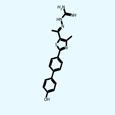 C/C(=N\NC(=N)N)c1sc(-c2ccc(-c3ccc(O)cc3)cc2)nc1C